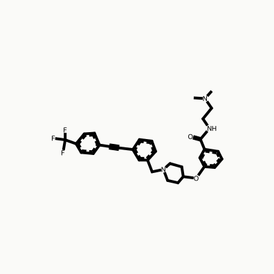 CN(C)CCNC(=O)c1cccc(OC2CCN(Cc3cccc(C#Cc4ccc(C(F)(F)F)cc4)c3)CC2)c1